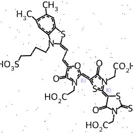 Cc1cc2c(cc1C)N(CCCCS(=O)(=O)O)C(=CC=c1o/c(=c3/s/c(=C4/SC(=S)N(CC(=O)O)C4=O)n(CC(=O)O)c3=O)n(CC(=O)O)c1=O)S2